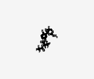 C[C@@](OC(=O)C(F)(F)F)(C(=O)Nc1ccc(F)c([C@@]2(C)OC(N)=NCC2(F)F)c1)C(F)(F)F